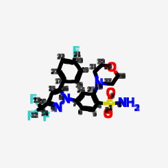 NS(=O)(=O)c1ccc(-n2nc(C(F)(F)F)cc2-c2ccc(F)cc2)cc1N1CCOCC1